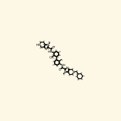 Cc1c(NC(=O)c2nc3c(n2C)CCN(CC2CCCCC2)C3)cccc1-c1cccc(NC(=O)c2nc3c(n2C)CCNC3)c1Cl